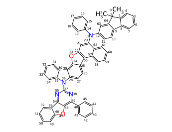 CC1(C)c2ccccc2-c2ccc(N(c3ccccc3)c3cc4oc5c(ccc6c5c5ccccc5n6-c5nc(-c6ccccc6)c6oc7ccccc7c6n5)c4c4ccccc34)cc21